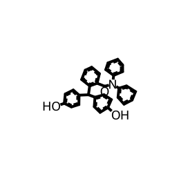 O=C(c1ccccc1C(c1ccc(O)cc1)c1ccc(O)cc1)N(c1ccccc1)c1ccccc1